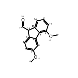 COc1ccc2c(c1)-c1c(OC)cccc1C2C=O